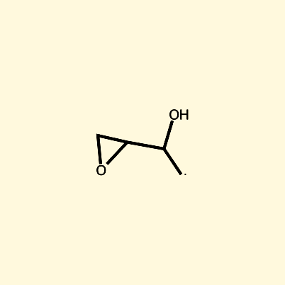 [CH2]C(O)C1CO1